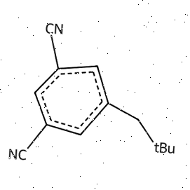 CC(C)(C)Cc1cc(C#N)cc(C#N)c1